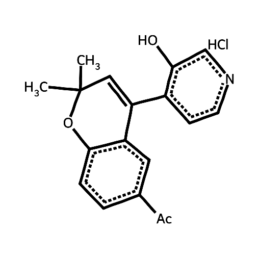 CC(=O)c1ccc2c(c1)C(c1ccncc1O)=CC(C)(C)O2.Cl